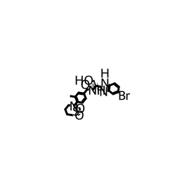 Cc1cc(C(=O)N[C@@H](CO)c2nc3cc(Br)ccc3[nH]2)ccc1N1CCCCS1(=O)=O